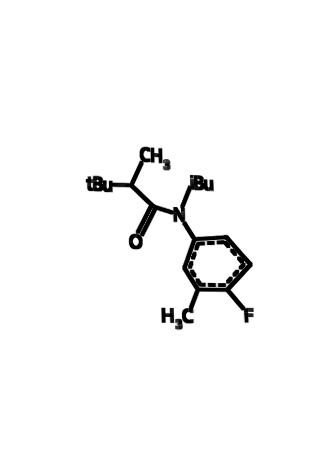 CCC(C)N(C(=O)C(C)C(C)(C)C)c1ccc(F)c(C)c1